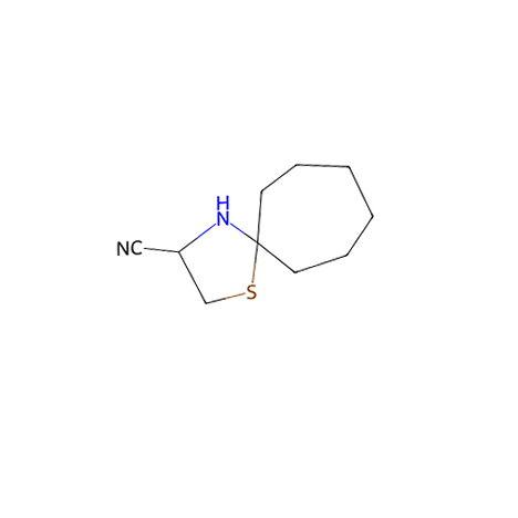 N#CC1CSC2(CCCCCC2)N1